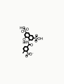 Cc1ccc(C(=O)Nc2cc(S(=O)(=O)O)cc3cc(S(=O)(=O)O)cc(O)c23)cc1[N+](=O)[O-]